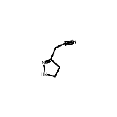 N#CCC1=NNCC1